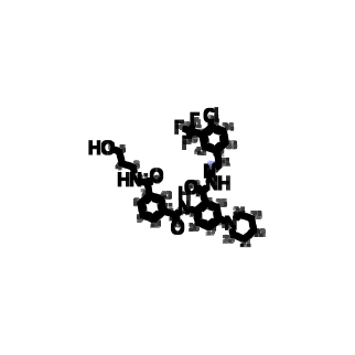 O=C(NCCCO)c1cccc(C(=O)Nc2ccc(N3CCCCC3)cc2C(=O)N/N=C/c2ccc(Cl)c(C(F)(F)F)c2)c1